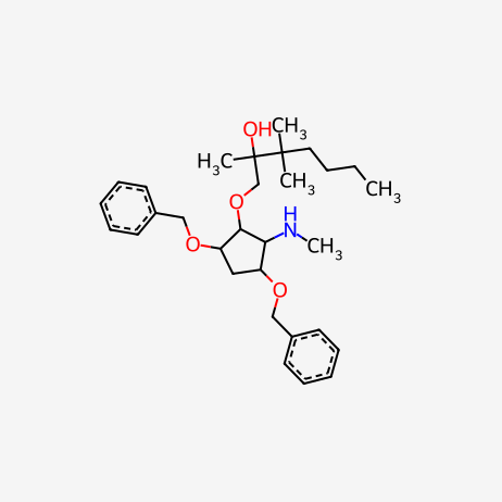 CCCCC(C)(C)C(C)(O)COC1C(OCc2ccccc2)CC(OCc2ccccc2)C1NC